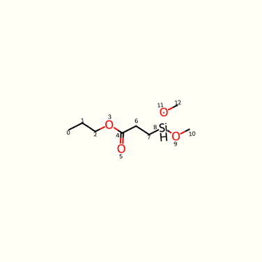 CCCOC(=O)CC[SiH](OC)OC